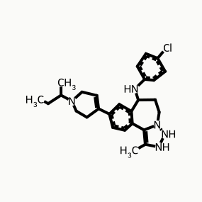 CCC(C)N1CC=C(c2ccc3c(c2)C(Nc2ccc(Cl)cc2)CCN2NNC(C)=C32)CC1